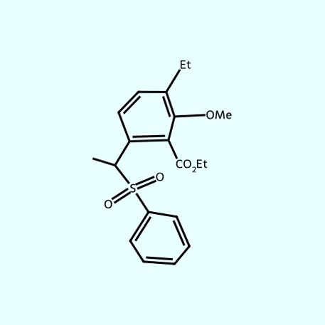 CCOC(=O)c1c(C(C)S(=O)(=O)c2ccccc2)ccc(CC)c1OC